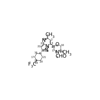 Cc1cc([C@@H]2CN(C=O)[C@@H](C)CO2)n2nc([C@H]3CC[C@H](C(F)(F)F)CC3)cc2n1